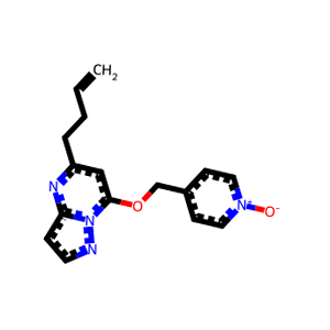 C=CCCc1cc(OCc2cc[n+]([O-])cc2)n2nccc2n1